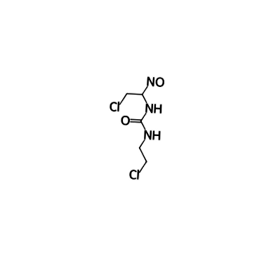 O=NC(CCl)NC(=O)NCCCl